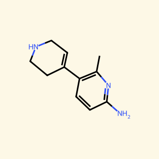 Cc1nc(N)ccc1C1=CCNCC1